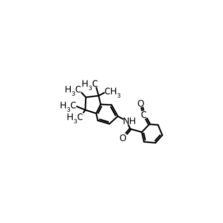 CC1C(C)(C)c2ccc(NC(=O)C3=CC=CCC3=C=O)cc2C1(C)C